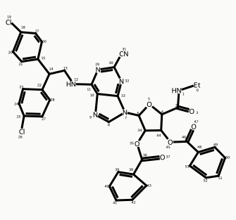 CCNC(=O)C1OC(n2cnc3c(NCC(c4ccc(Cl)cc4)c4ccc(Cl)cc4)nc(C#N)nc32)C(OC(=O)c2ccccc2)C1OC(=O)c1ccccc1